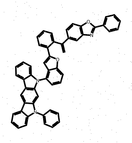 C=C(c1ccc2oc(-c3ccccc3)nc2c1)c1ccccc1-c1cc2c(-n3c4ccccc4c4cc5c6ccccc6n(-c6ccccc6)c5cc43)cccc2o1